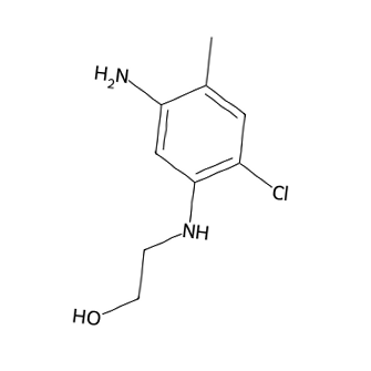 Cc1cc(Cl)c(NCCO)cc1N